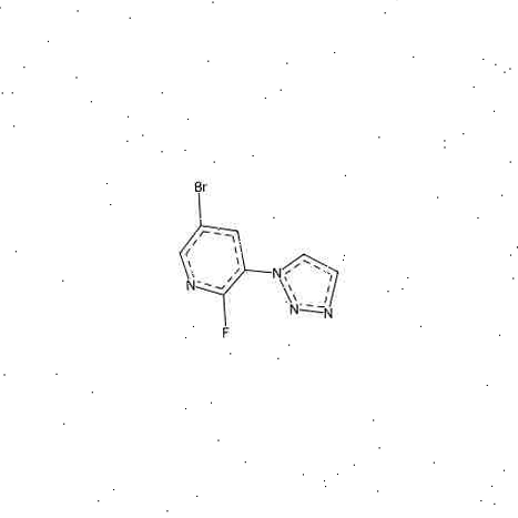 Fc1ncc(Br)cc1-n1ccnn1